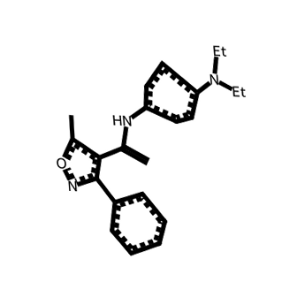 C=C(Nc1ccc(N(CC)CC)cc1)c1c(-c2ccccc2)noc1C